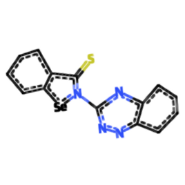 S=c1c2ccccc2[se]n1-c1nnc2ccccc2n1